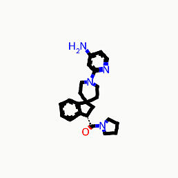 Nc1ccnc(N2CCC3(CC2)C[C@H](C(=O)N2CCCC2)c2ccccc23)c1